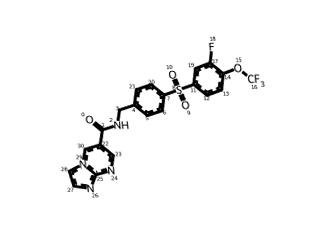 O=C(NCc1ccc(S(=O)(=O)c2ccc(OC(F)(F)F)c(F)c2)cc1)c1cnc2nccn2c1